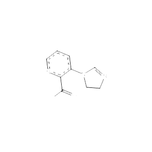 O=C(O)c1ncccc1N1C=NCC1